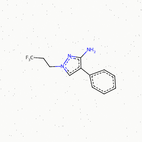 Nc1nn(CCC(F)(F)F)cc1-c1ccccc1